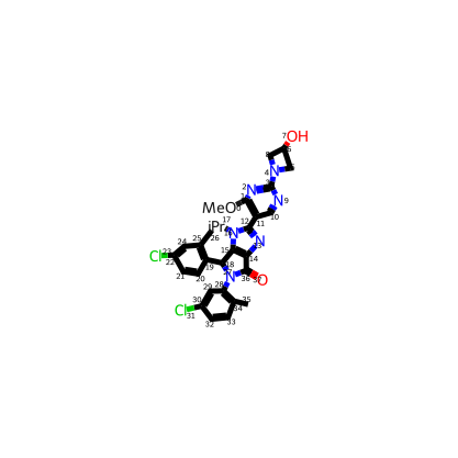 COc1nc(N2CC(O)C2)ncc1-c1nc2c(n1C(C)C)C(c1ccc(Cl)cc1C)N(c1cc(Cl)ccc1C)C2=O